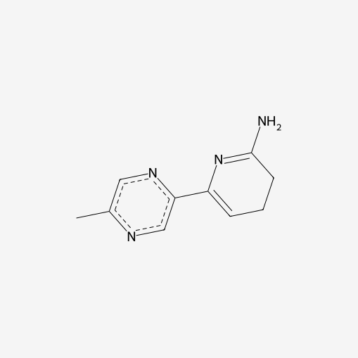 Cc1cnc(C2=CCCC(N)=N2)cn1